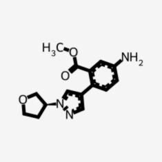 COC(=O)c1cc(N)ccc1-c1cnn([C@H]2CCOC2)c1